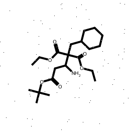 CCOC(=O)C(CC1CCCCC1)(C(=O)OCC)C(N)CC(=O)OC(C)(C)C